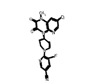 Cn1c(=O)c(=O)n(C2CCN(c3ncc(C#N)cc3F)CC2)c2ncc(Cl)cc21